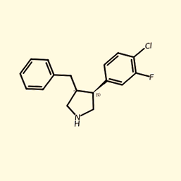 Fc1cc([C@H]2CNC[C]2Cc2ccccc2)ccc1Cl